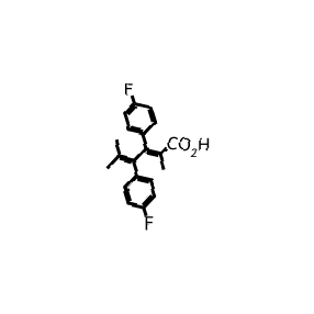 CC(C)=C(/C(=C(\C)C(=O)O)c1ccc(F)cc1)c1ccc(F)cc1